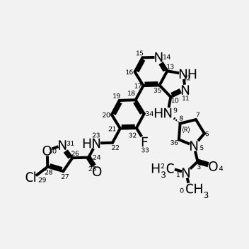 CN(C)C(=O)N1CC[C@@H](Nc2n[nH]c3nccc(-c4ccc(CNC(=O)c5cc(Cl)on5)c(F)c4)c23)C1